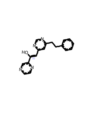 O/C(=C\c1cc(CCc2ccccc2)ncn1)c1cnccn1